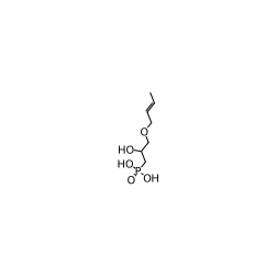 CC=CCOCC(O)CP(=O)(O)O